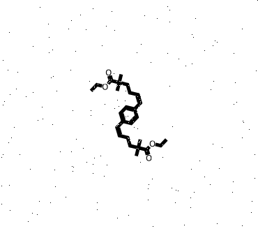 CCOC(=O)C(C)(C)CC/C=C\c1ccc(/C=C\CCC(C)(C)C(=O)OCC)cc1